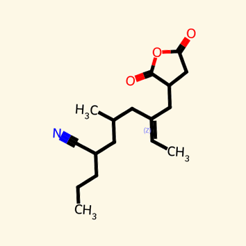 C/C=C(/CC(C)CC(C#N)CCC)CC1CC(=O)OC1=O